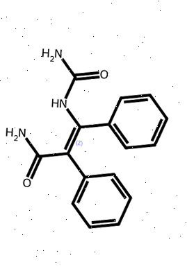 NC(=O)N/C(=C(\C(N)=O)c1ccccc1)c1ccccc1